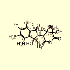 Bc1c(N)c2c(c(B)c1F)C(=O)N(C1C(=O)NC(=O)C(B)(O)C1(B)B)C2(B)O